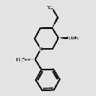 CO[C@H]1CN([C@@H](C)c2ccccc2)CC[C@H]1CC#N